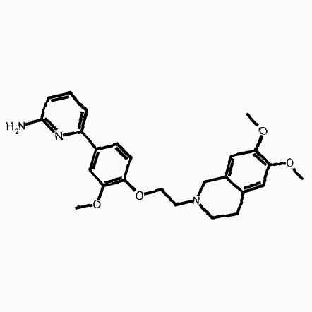 COc1cc2c(cc1OC)CN(CCOc1ccc(-c3cccc(N)n3)cc1OC)CC2